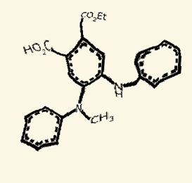 CCOC(=O)c1cc(Nc2ccccc2)c(N(C)c2ccccc2)cc1C(=O)O